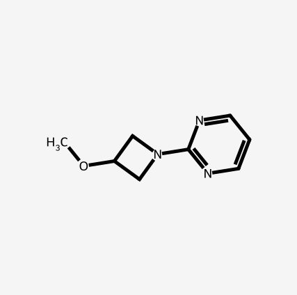 COC1CN(c2ncccn2)C1